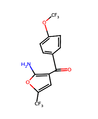 Nc1oc(C(F)(F)F)cc1C(=O)c1ccc(OC(F)(F)F)cc1